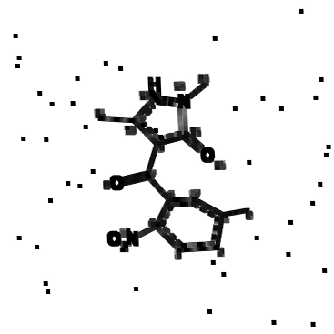 Cc1ccc([N+](=O)[O-])c(C(=O)c2c(C)[nH]n(C)c2=O)c1